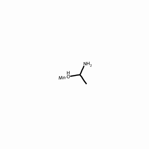 CC(N)O.[Mn]